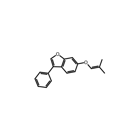 CC(C)=COc1ccc2c(-c3ccccc3)coc2c1